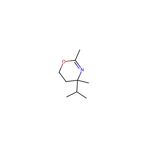 CC1=NC(C)(C(C)C)CCO1